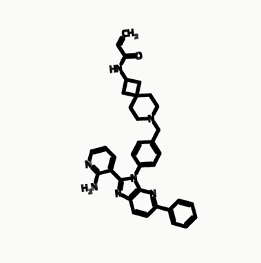 C=CC(=O)NC1CC2(CCN(Cc3ccc(-n4c(-c5cccnc5N)nc5ccc(-c6ccccc6)nc54)cc3)CC2)C1